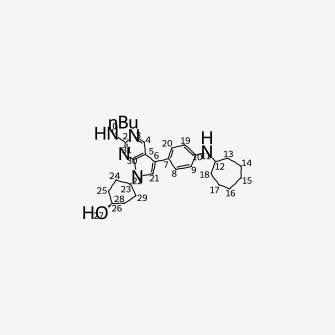 CCCCNc1ncc2c(-c3ccc(NC4CCCCCC4)cc3)cn([C@H]3CC[C@H](O)CC3)c2n1